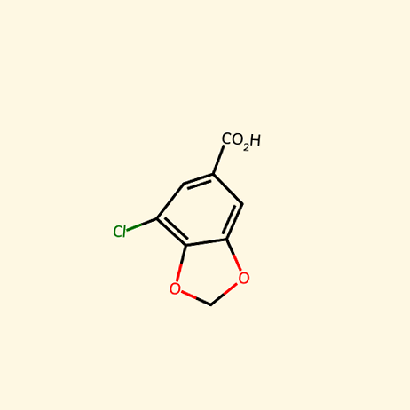 O=C(O)c1cc(Cl)c2c(c1)OCO2